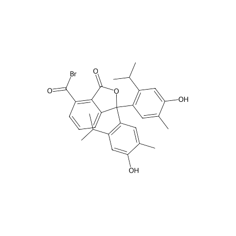 Cc1cc(C2(c3cc(C)c(O)cc3C(C)C)OC(=O)c3c(C(=O)Br)cccc32)c(C(C)C)cc1O